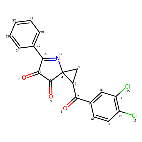 O=C1C(=O)C2(CC2C(=O)c2ccc(Cl)c(Cl)c2)N=C1c1ccccc1